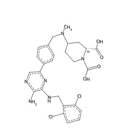 CN(Cc1ccc(-c2cnc(N)c(NCc3c(Cl)cccc3Cl)n2)cc1)C1CCN(C(=O)O)[C@@H](C(=O)O)C1